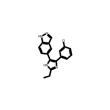 CCc1nc(-c2cccc(Cl)c2)c(-c2ccc3[nH]ncc3c2)[nH]1